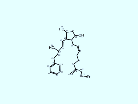 CCNOC(=O)CCC/C=C\CC1C(O)CC(O)[C@@H]1/C=C/C(O)CCc1ccccc1